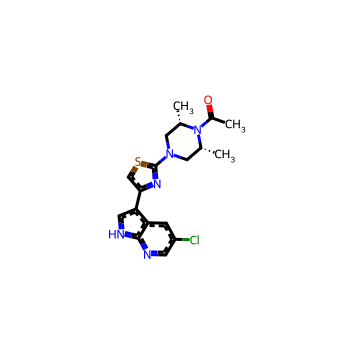 CC(=O)N1[C@H](C)CN(c2nc(-c3c[nH]c4ncc(Cl)cc34)cs2)C[C@@H]1C